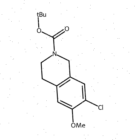 COc1cc2c(cc1Cl)CN(C(=O)OC(C)(C)C)CC2